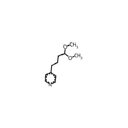 COC(CCCc1ccncc1)OC